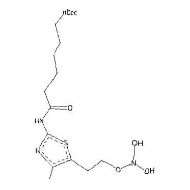 CCCCCCCCCCCCCCCC(=O)Nc1nc(C)c(CCON(O)O)s1